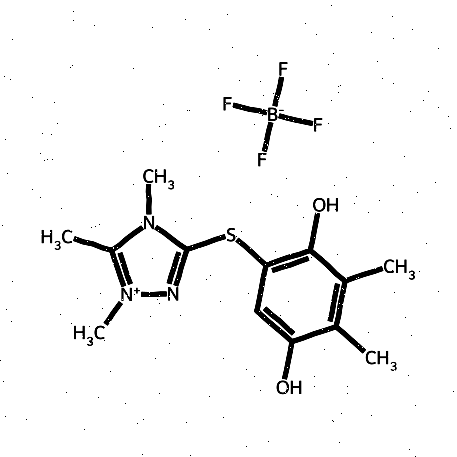 Cc1c(O)cc(Sc2n[n+](C)c(C)n2C)c(O)c1C.F[B-](F)(F)F